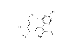 CCCc1ccc(C(CCC(C)C(C)CCC(C)CC)=C(C)C)c(F)c1